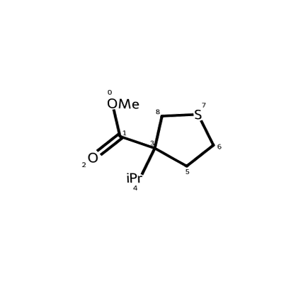 COC(=O)C1(C(C)C)CCSC1